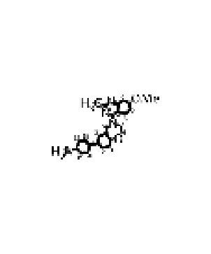 COc1ccc2c(N3CCOc4ccc(-c5ccc(N)cc5)cc4C3)nc(C)nc2c1